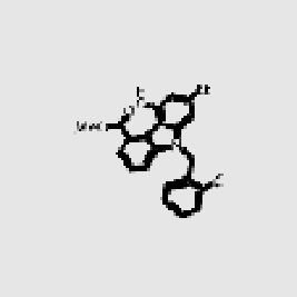 CCc1cc(O)c2c3c(C(=O)OC)cccc3n(Cc3ccccc3Cl)c2c1